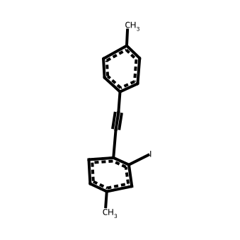 Cc1ccc(C#Cc2ccc(C)cc2I)cc1